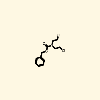 O=C(OCc1ccccc1)N(CCCl)CCCl